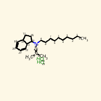 CCCCCCCCCC[N]([Zr]=[Si](C)C)C1CCC2C=CC=CC21.Cl.Cl